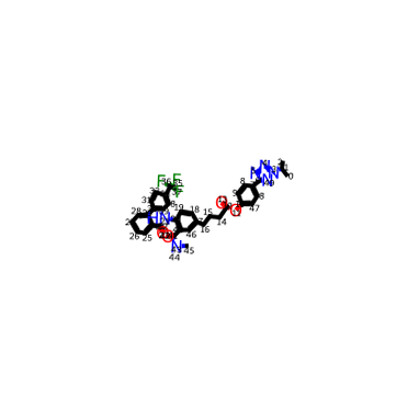 CC(C)n1nnc(-c2ccc(OC(=O)CCCc3ccc(NC(=O)c4ccccc4-c4ccc(C(F)(F)F)cc4)c(C(=O)N(C)C)c3)cc2)n1